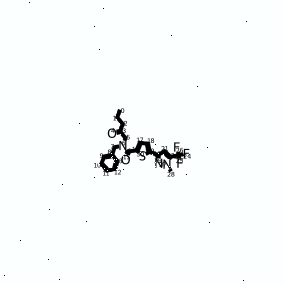 CCCC(=O)CN(Cc1ccccc1)C(=O)c1ccc(-c2cc(C(F)(F)F)n(C)n2)s1